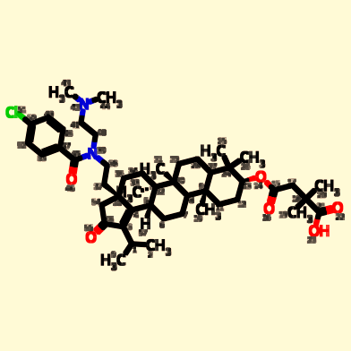 CC(C)C1=C2[C@H]3CCC4[C@@]5(C)CC[C@H](OC(=O)CC(C)(C)C(=O)O)C(C)(C)C5CC[C@@]4(C)[C@]3(C)CC[C@@]2(CCN(CCN(C)C)C(=O)c2ccc(Cl)cc2)CC1=O